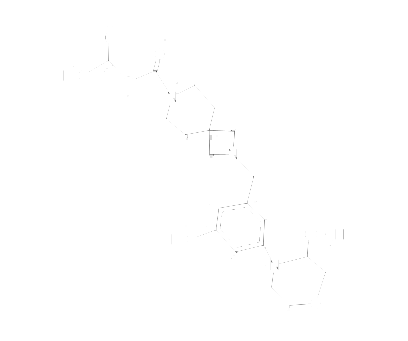 O=C(O)C1COCCN1c1cc(CN2CC3(CCN(C(=O)OC(C(F)(F)F)C(F)(F)F)CC3)C2)cc(C(F)(F)F)c1